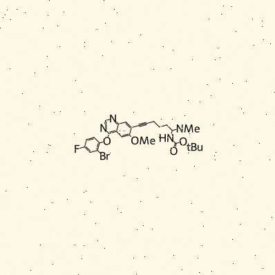 CNC(CCCC#Cc1cc2ncnc(Oc3ccc(F)cc3Br)c2cc1OC)NC(=O)OC(C)(C)C